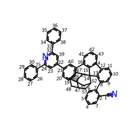 N#Cc1ccccc1-c1cccc2c1C1(c3c(-c4cccc(-c5cc(-c6ccccc6)nc(-c6ccccc6)c5)c4)cccc3-2)C2CC3CC(C2)CC1C3